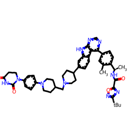 Cc1cc(-c2ncnc3[nH]c4cc(C5CCN(CC6CCN(c7ccc(N8CCC(=O)NC8=O)cc7)CC6)CC5)ccc4c23)ccc1[C@@H](C)NC(=O)c1nc(C(C)(C)C)no1